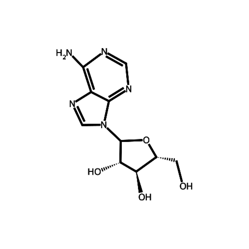 Nc1ncnc2c1ncn2C1O[C@H](CO)[C@@H](O)[C@@H]1O